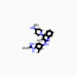 CNC(=N)Nc1ccc(Nc2nc3ccccc3c(N3CCC(NC(C)(C)C)CC3)c2C#N)cc1C